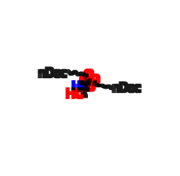 CCCCCCCCCCCCCCCC(=O)OC(C)(NCC(C)O)OC(=O)CCCCCCCCCCCCCCC